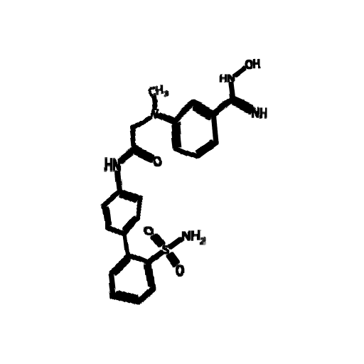 CN(CC(=O)Nc1ccc(-c2ccccc2S(N)(=O)=O)cc1)c1cccc(C(=N)NO)c1